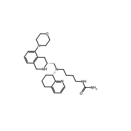 NC(=O)NCCCCN(C[C@H]1Cc2c(cccc2N2CCOCC2)CN1)[C@H]1CCCc2cccnc21